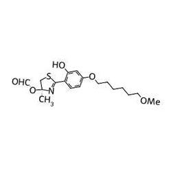 COCCCCCCOc1ccc(C2=N[C@@](C)(OC=O)CS2)c(O)c1